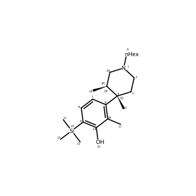 CCCCCCN1CC[C@](C)(c2ccc([Si](C)(C)C)c(O)c2C)[C@@H](C)C1